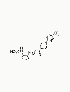 O=C(O)NC1CCCC1=NOCC(=O)N1CCN(c2ncc(C(F)(F)F)cn2)CC1